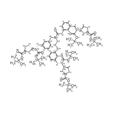 CC(C)(C)OC(=O)[C@@H](Cc1cccc(CC(=O)N(CCSc2cccc(C[C@H](C(=O)OC(C)(C)C)[C@H]3CCN(C(=O)OC(C)(C)C)C3)c2)Cc2cccc(C[C@H](C(=O)OC(C)(C)C)[C@H]3CCN(C(=O)OC(C)(C)C)C3)c2)c1)[C@H]1CCN(C(=O)OC(C)(C)C)C1